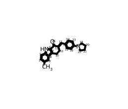 Cc1ccc2[nH]c3c(c2c1)CC/C(=C\c1ccc(N2CCCC2)cc1)C3=O